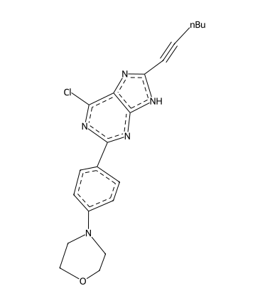 CCCCC#Cc1nc2c(Cl)nc(-c3ccc(N4CCOCC4)cc3)nc2[nH]1